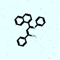 C/C(=C\C(=N\c1ccccc1)c1cccc2ccccc12)c1ccccc1